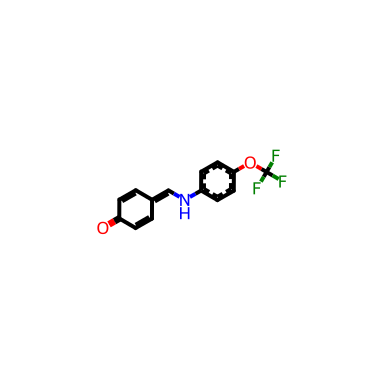 O=C1C=CC(=CNc2ccc(OC(F)(F)F)cc2)C=C1